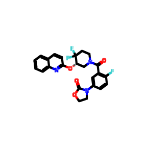 O=C(c1cc(N2CCOC2=O)ccc1F)N1CCC(F)(F)[C@@H](Oc2ccc3ccccc3n2)C1